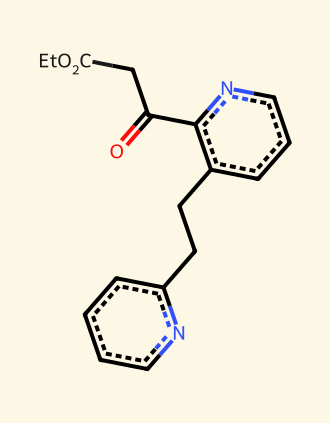 CCOC(=O)CC(=O)c1ncccc1CCc1ccccn1